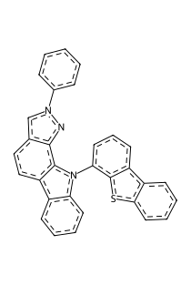 c1ccc(-n2cc3ccc4c5ccccc5n(-c5cccc6c5sc5ccccc56)c4c3n2)cc1